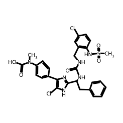 CN(C(=O)O)c1ccc(-c2nc(C(Cc3ccccc3)NC(=O)NCc3cc(Cl)ccc3NS(C)(=O)=O)[nH]c2Cl)cc1